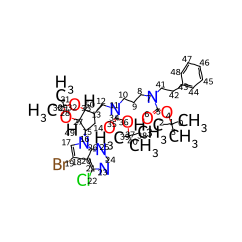 CC(C)(C)OC(=O)N(CCCN(C[C@H]1C[C@@H](n2cc(Br)c3c(Cl)ncnc32)[C@@H]2OC(C)(C)O[C@H]12)C(=O)OC(C)(C)C)CCc1ccccc1